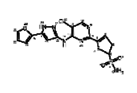 NS(=O)(=O)C1CC=C(c2ncc(Cl)c(Nc3cc(-c4ccco4)[nH]n3)n2)S1